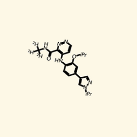 [2H]C([2H])([2H])NC(=O)c1nnccc1Nc1ccc(-c2cnn(C(C)C)c2)cc1OC(C)C